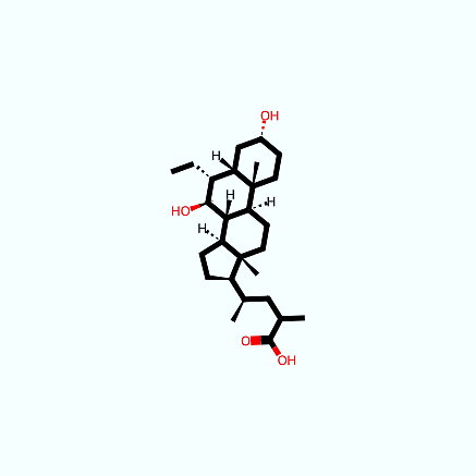 CC[C@H]1[C@H](O)[C@@H]2[C@H](CC[C@]3(C)[C@@H]([C@H](C)CC(C)C(=O)O)CC[C@@H]23)[C@@]2(C)CC[C@@H](O)C[C@@H]12